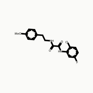 COc1ccc(CCNC(=O)C(=O)Nc2cc(F)ccc2Cl)cc1